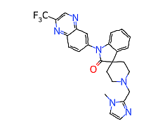 Cn1ccnc1CN1CCC2(CC1)C(=O)N(c1ccc3nc(C(F)(F)F)cnc3c1)c1ccccc12